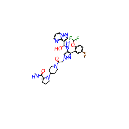 CNC(=O)[C@@H]1CCCN1C1CCN(C(=O)Cn2cc(NC(O)c3cnn4cccnc34)c(-c3cc(SC)ccc3OC(F)F)n2)CC1